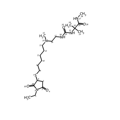 CCN1C(=O)CC(SCCCCCCN(C)CCNC(=O)NC(C)(C)C(=O)NC)C1=O